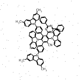 Cc1ccc2c(c1)c1cc(C)ccc1n2-c1ccc(-c2c(C#N)c(-n3c4ccccc4c4cnccc43)c(-c3nc(-c4ccccc4)nc(-c4ccccc4)n3)c(-c3ccc(-n4c5ccc(C)cc5c5cc(C)ccc54)cc3)c2-n2c3ccccc3c3cnccc32)cc1